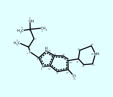 CC(CC(C)(C)O)Sc1nc2cc(Cl)c(C3CCNCC3)cc2[nH]1